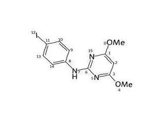 COc1cc(OC)nc(Nc2ccc(I)cc2)n1